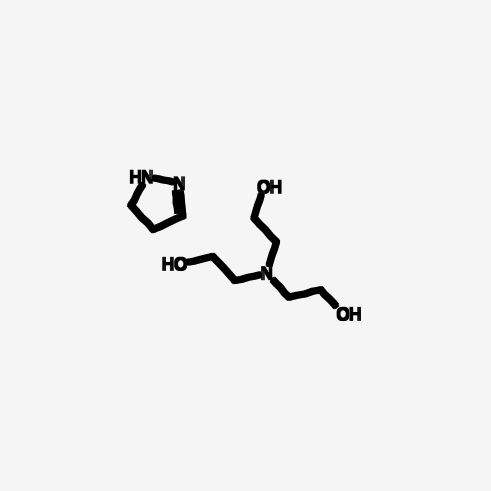 C1=NNCC1.OCCN(CCO)CCO